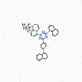 CC1CC=CC2C(c3nc(-c4ccc(-c5cccc6ccccc56)cc4)nc(-c4cccc5ccccc45)n3)=CC=CC12C